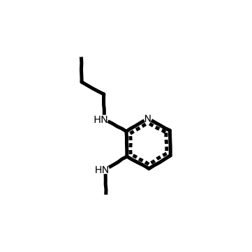 CCCNc1ncccc1NC